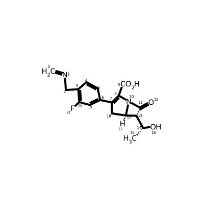 C=NCc1ccc(C2=C(C(=O)O)N3C(=O)[C@H]([C@@H](C)O)[C@H]3C2)cc1F